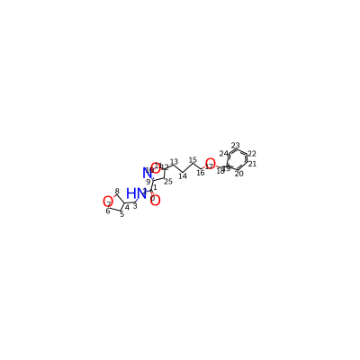 O=C(NCC1CCOC1)C1=NOC(CCCCOCc2ccccc2)C1